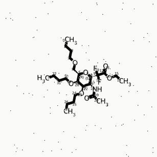 CCCCOC[C@H]1O[C@H](C(F)(F)C(=O)OCC)[C@H](NC(C)=O)[C@@H](OCCCC)[C@H]1OCCCC